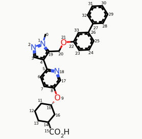 Cn1ncc(-c2ccc(O[C@H]3CCCC(C(=O)O)C3)cn2)c1COc1cccc(-c2ccccc2)c1